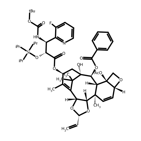 C=C[C@@H]1O[C@@H]2C3=C(C)[C@@H](OC(=O)[C@H](O[Si](C(C)C)(C(C)C)C(C)C)[C@@H](NC(=O)OC(C)(C)C)c4ncccc4F)C[C@@](O)([C@@H](OC(=O)c4ccccc4)[C@H]4[C@@](C)(C=C[C@H]5OC[C@]54OC(C)=O)[C@@H]2O1)C3(C)C